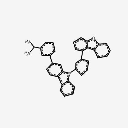 NC(N)c1cccc(-c2ccc3c4ccccc4n(-c4cccc(-c5cccc6oc7ccccc7c56)c4)c3c2)c1